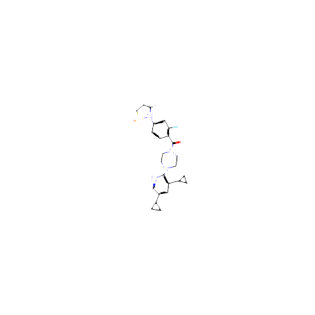 C[C@@H]1CCS(=O)(=O)N1c1ccc(C(=O)N2CCN(c3ncc(C4CC4)cc3C3CC3)CC2)c(F)c1